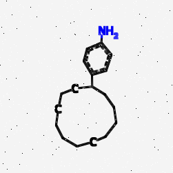 Nc1ccc(C2CCCCCCCCCCC2)cc1